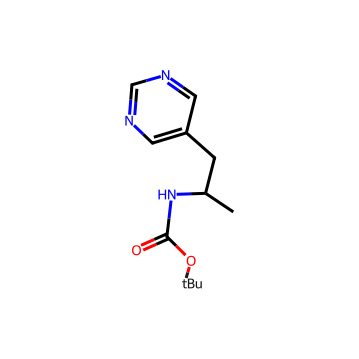 CC(Cc1cncnc1)NC(=O)OC(C)(C)C